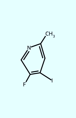 Cc1cc(I)c(F)cn1